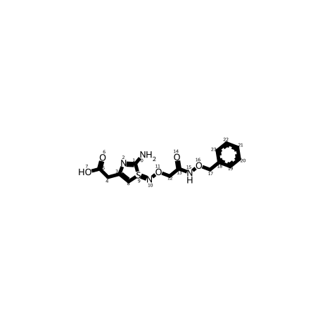 NC1=NC(CC(=O)O)=CS1=NOCC(=O)NOCc1ccccc1